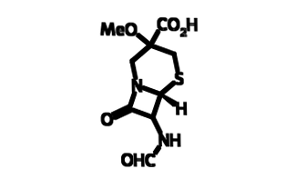 COC1(C(=O)O)CS[C@@H]2C(NC=O)C(=O)N2C1